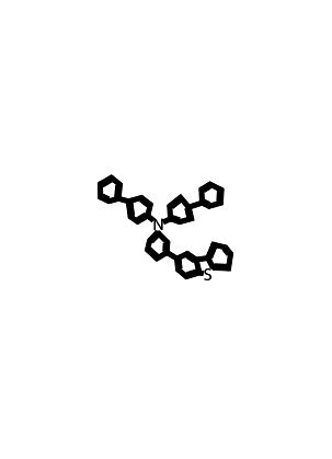 c1ccc(-c2ccc(N(c3ccc(-c4ccccc4)cc3)c3cccc(-c4ccc5sc6ccccc6c5c4)c3)cc2)cc1